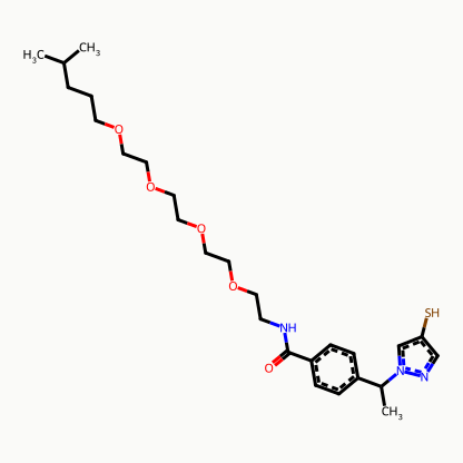 CC(C)CCCOCCOCCOCCOCCNC(=O)c1ccc(C(C)n2cc(S)cn2)cc1